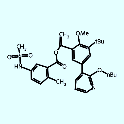 C=C(OC(=O)c1cc(NS(C)(=O)=O)ccc1C)c1cc(-c2cccnc2OCCCC)cc(C(C)(C)C)c1OC